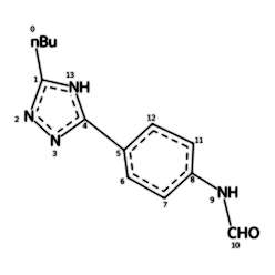 CCCCc1nnc(-c2ccc(NC=O)cc2)[nH]1